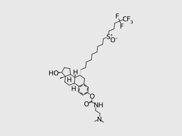 CN(C)CCNC(=O)Oc1ccc2c(c1)C[C@@H](CCCCCCCCC[S+]([O-])CCCC(F)(F)C(F)(F)F)[C@@H]1[C@@H]2CC[C@]2(C)[C@@H](O)CC[C@@H]12